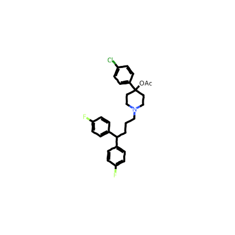 CC(=O)OC1(c2ccc(Cl)cc2)CCN(CCCC(c2ccc(F)cc2)c2ccc(F)cc2)CC1